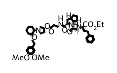 CCOC(=O)[C@@H](CCc1ccccc1)N[C@H](C)C(=O)N1[C@@H](C(=O)NCCC(=O)OC2CCN([C@@H]3CCCC[C@H]3OCCc3ccc(OC)c(OC)c3)C2)C[C@H]2CCC[C@H]21